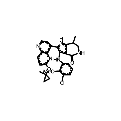 COc1c(Cl)cccc1Nc1c(-c2ccnc3ccc(OC4(C)CC4)nc23)[nH]c2c1C(=O)NCC2C